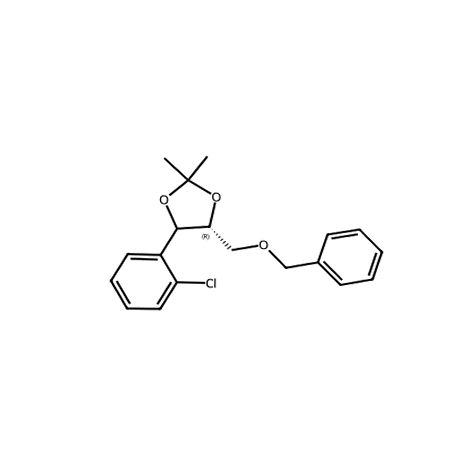 CC1(C)OC(c2ccccc2Cl)[C@@H](COCc2ccccc2)O1